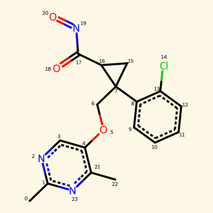 Cc1ncc(OCC2(c3ccccc3Cl)CC2C(=O)N=O)c(C)n1